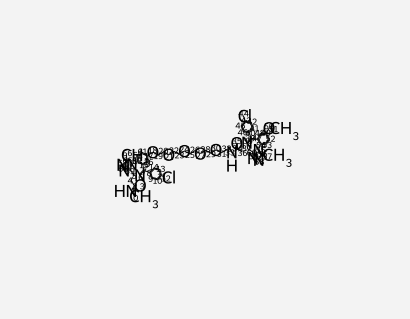 CNC(=O)C[C@@H]1N=C(c2ccc(Cl)cc2)c2cc(OCCOCCOCCOCCOCCNC(=O)C[C@@H]3N=C(c4ccc(Cl)cc4)c4cc(OC)ccc4-n4c(C)nnc43)ccc2-n2c(C)nnc21